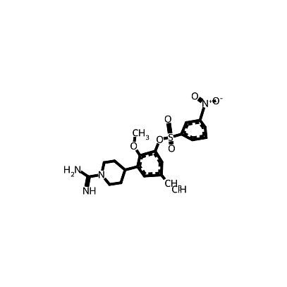 COc1c(OS(=O)(=O)c2cccc([N+](=O)[O-])c2)cc(C)cc1C1CCN(C(=N)N)CC1.Cl